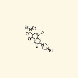 CCN1CCN(c2cc3c(cc2F)c(=O)c(C(=O)N(CC)CC)cn3C2CC2)CC1